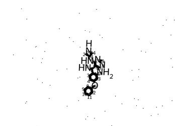 N=C(c1ccc(Oc2ccccc2)cc1)c1c(N)ncnc1NC1CNC1